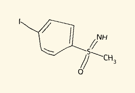 CS(=N)(=O)c1ccc(I)cc1